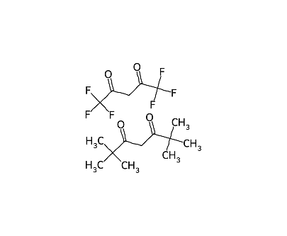 CC(C)(C)C(=O)CC(=O)C(C)(C)C.O=C(CC(=O)C(F)(F)F)C(F)(F)F